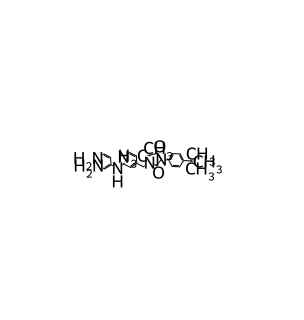 CC(C)(C)c1ccc(N2C(=O)N(Cc3ccnc(NC(/C=C\N)=C/N)c3)C(C)(C)C2=O)cc1